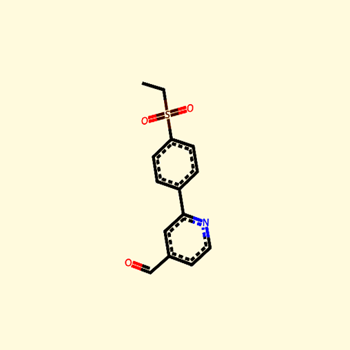 CCS(=O)(=O)c1ccc(-c2cc(C=O)ccn2)cc1